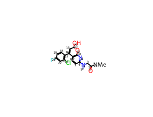 CNC(=O)CN(C)c1ccc2c(n1)OC(O)C=C2c1ccc(F)cc1Cl